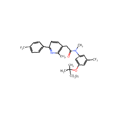 CCOC(=O)C(C)(C)Oc1cc(N(C)C(=O)Cc2ccc(-c3ccc(C(F)(F)F)cc3)nc2C)cc(C(F)(F)F)c1